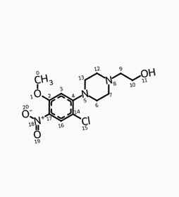 COc1cc(N2CCN(CCO)CC2)c(Cl)cc1[N+](=O)[O-]